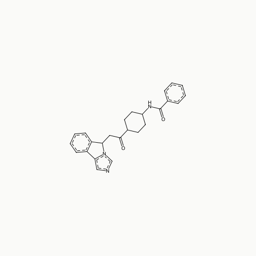 O=C(NC1CCC(C(=O)CC2c3ccccc3-c3cncn32)CC1)c1ccccc1